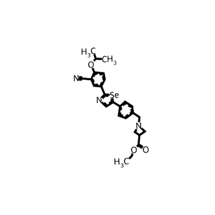 CCOC(=O)C1CN(Cc2ccc(-c3cnc(-c4ccc(OC(C)C)c(C#N)c4)[se]3)cc2)C1